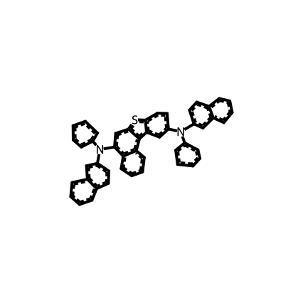 c1ccc(N(c2ccc3ccccc3c2)c2ccc3sc4cc(N(c5ccccc5)c5ccc6ccccc6c5)c5ccccc5c4c3c2)cc1